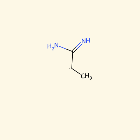 C[CH]C(=N)N